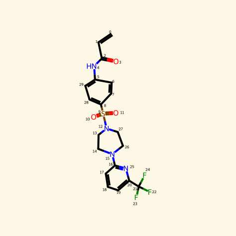 C=CC(=O)Nc1ccc(S(=O)(=O)N2CCN(c3cccc(C(F)(F)F)n3)CC2)cc1